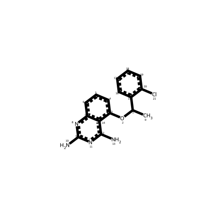 CC(Oc1cccc2nc(N)nc(N)c12)c1ccccc1Cl